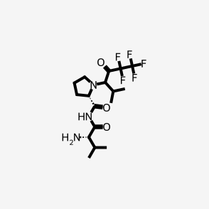 CC(C)C(C(=O)C(F)(F)C(F)(F)F)N1CCC[C@H]1C(=O)NC(=O)[C@@H](N)C(C)C